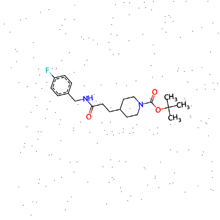 CC(C)(C)OC(=O)N1CCC(CCC(=O)NCc2ccc(F)cc2)CC1